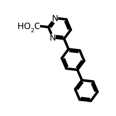 O=C(O)c1nccc(-c2ccc(-c3ccccc3)cc2)n1